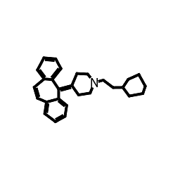 C1=Cc2ccccc2C(=C2CCN(CCC3CCCCC3)CC2)c2ccccc21